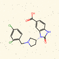 O=C(O)c1ccc2[nH]c(=O)n([C@@H]3CCN(Cc4ccc(Cl)cc4Cl)C3)c2c1